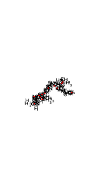 CNC(C)C(=O)NC(C(=O)N1CCC[C@H]1c1nc(C(=O)c2ccc(F)cc2)cs1)C1CCN(C(=O)c2cnc(N3CCN(CCCOc4cc5ncnc(Nc6n[nH]c(C)c6C)c5cc4S(=O)(=O)C(C)(C)C)CC3)nc2)CC1